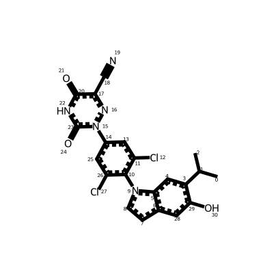 CC(C)c1cc2c(ccn2-c2c(Cl)cc(-n3nc(C#N)c(=O)[nH]c3=O)cc2Cl)cc1O